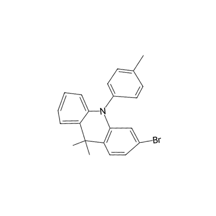 Cc1ccc(N2c3ccccc3C(C)(C)c3ccc(Br)cc32)cc1